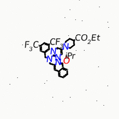 CCOC(=O)C1CCN(c2cnc(N(Cc3cc(C(F)(F)F)cc(C(F)(F)F)c3)Cc3cc4ccccc4c(OC(C)C)n3)nc2)CC1